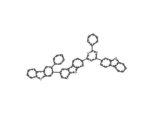 c1ccc(-c2nc(-c3ccc4c(c3)oc3ccc(-c5cc6oc7ccccc7c6cc5-c5ccccc5)cc34)nc(-c3ccc4c(c3)sc3ccccc34)n2)cc1